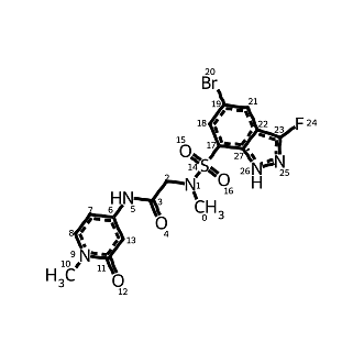 CN(CC(=O)Nc1ccn(C)c(=O)c1)S(=O)(=O)c1cc(Br)cc2c(F)n[nH]c12